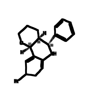 CCC1C=C2C(=CC1)N[C@@H](c1ccccc1)[C@@H]1CCCO[C@H]21